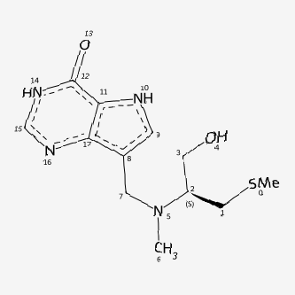 CSC[C@H](CO)N(C)Cc1c[nH]c2c(=O)[nH]cnc12